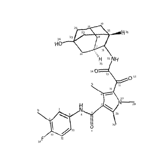 Cc1cc(NC(=O)c2c(C)c(C(=O)C(=O)NC3[C@@H]4CC5C[C@H]3CC(O)(C5)C4)n(C)c2C)ccc1F